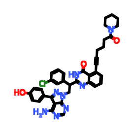 Nc1ncnc2c1c(-c1ccc(O)cc1)nn2CC(c1cccc(Cl)c1)c1nc2cccc(C#CCCCC(=O)N3CCCCC3)c2c(=O)[nH]1